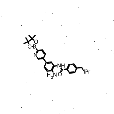 CC(C)Cc1ccc(C(=O)Nc2cc(-c3ccc(B4OC(C)(C)C(C)(C)O4)nc3)ccc2N)cc1